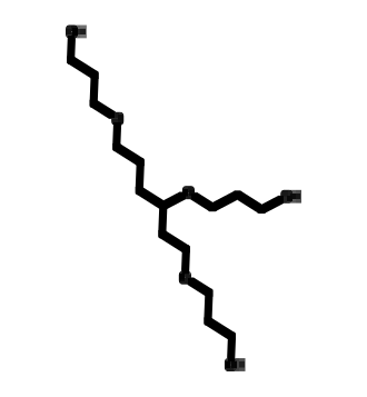 OCCCOCCCC(CCOCCCO)OCCCO